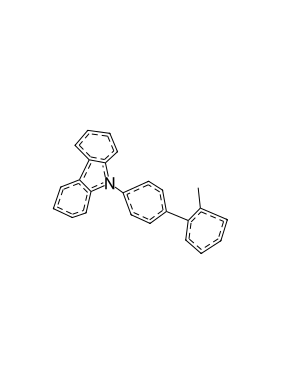 Cc1ccccc1-c1ccc(-n2c3ccccc3c3ccccc32)cc1